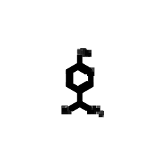 CCC(N)c1ccc(C(C)(C)C)nc1